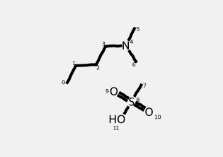 CCCCN(C)C.CS(=O)(=O)O